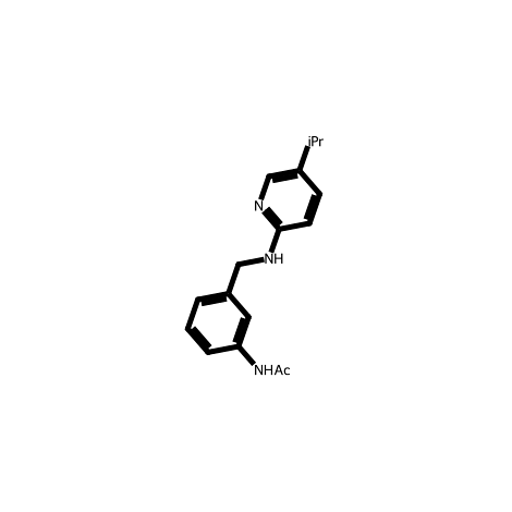 CC(=O)Nc1cccc(CNc2ccc(C(C)C)cn2)c1